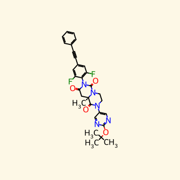 CC(C)(C)Oc1ncc(N2CCN3C(=O)N(c4c(F)cc(C#Cc5ccccc5)cc4F)C(=O)C[C@@]3(C)C2=O)cn1